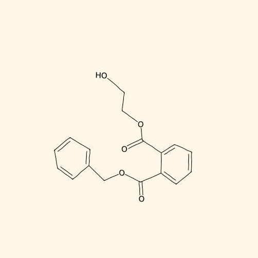 O=C(OCCO)c1ccccc1C(=O)OCc1ccccc1